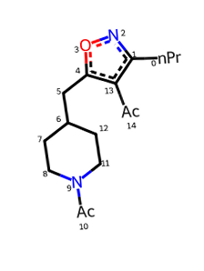 CCCc1noc(CC2CCN(C(C)=O)CC2)c1C(C)=O